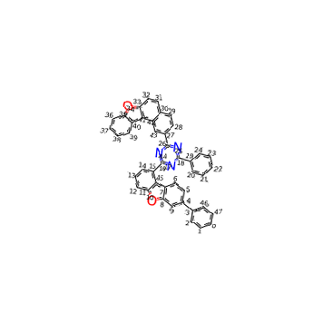 c1ccc(-c2ccc3c(c2)oc2cccc(-c4nc(-c5ccccc5)nc(-c5ccc6ccc7oc8ccccc8c7c6c5)n4)c23)cc1